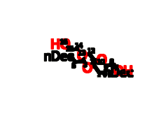 CCCCCCCCCCCCOCCCCCCCCCCCC.OCCOCCOCCO